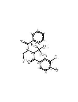 CCN(C(=O)c1ccccc1)N(C(=O)c1ccc(Cl)c(Cl)c1)C(C)(C)C